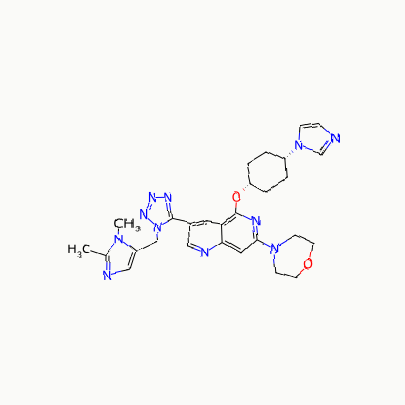 Cc1ncc(Cn2nnnc2-c2cnc3cc(N4CCOCC4)nc(O[C@H]4CC[C@@H](n5ccnc5)CC4)c3c2)n1C